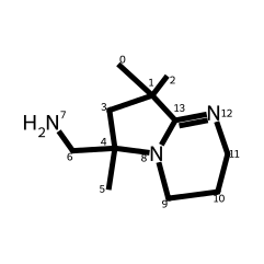 CC1(C)CC(C)(CN)N2CCCN=C21